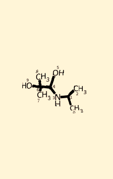 CC(C)NC(O)C(C)(C)O